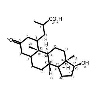 CC(CC1CC(=O)CC2CC[C@@H]3[C@H](CC[C@]4(C)[C@@H](O)CC[C@@H]34)[C@]21C)C(=O)O